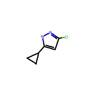 ClC1=N[N]C(C2CC2)=C1